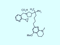 COc1cc(CCCCC(C)(P)C2CCN([C@@H](C(=O)O)c3cccnc3C3CC3)C2)nc2c1CCCN2I